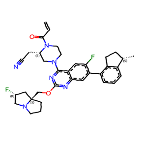 C=CC(=O)N1CCN(c2nc(OC[C@@]34CCCN3C[C@H](F)C4)nc3cc(-c4cccc5c4CC[C@@H]5C)c(F)cc23)C[C@@H]1CC#N